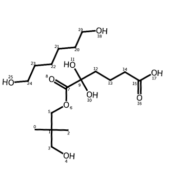 CC(C)(CO)COC(=O)C(O)(O)CCCC(=O)O.OCCCCCCO